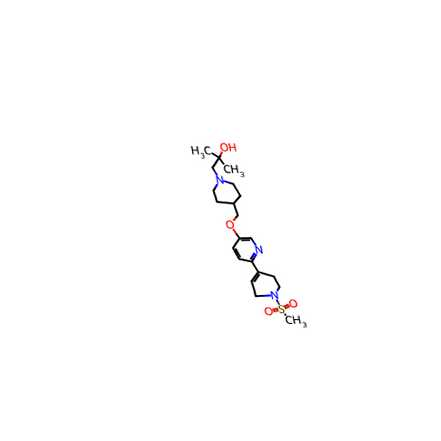 CC(C)(O)CN1CCC(COc2ccc(C3=CCN(S(C)(=O)=O)CC3)nc2)CC1